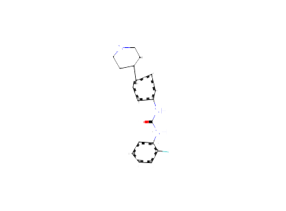 O=C(Nc1ccc(C2CCNCC2)cc1)Nc1ccccc1F